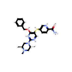 C[C@@H]1CN(C)[C@@H](C)CN1c1ncc(Sc2ccc(C(N)=O)nc2)c(OCc2ccccc2)n1